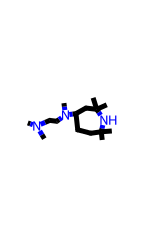 CN(C)CCN(C)C1CCC(C)(C)NC(C)(C)C1